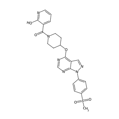 CS(=O)(=O)c1ccc(-n2ncc3c(OC4CCN(C(=O)c5cccnc5O)CC4)ncnc32)cc1